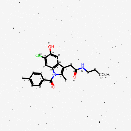 Cc1ccc(C(=O)n2c(C)c(CC(=O)NCCC(=O)O)c3cc(O)c(Cl)cc32)cc1